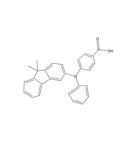 CC1(C)c2ccccc2-c2cc(N(c3ccccc3)c3ccc(C(=O)O)cc3)ccc21